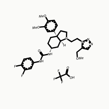 COCc1cnnn1CCN1CC[C@]2(c3ccc(OC)c(OC)c3)CC[C@@H](NC(=O)Nc3ccc(F)c(F)c3)C[C@H]12.O=C(O)C(F)(F)F